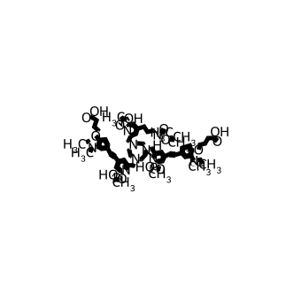 CCN(C)c1cc(C#Cc2cc(CN3CCN(Cc4cc(C#Cc5ccc(OCCCC(=O)O)c(N(C)CC)c5)cc(P(C)(=O)O)n4)CCN(Cc4cc(CCCNC(=O)OC(C)(C)C)cc(P(C)(=O)O)n4)CC3)nc(P(C)(=O)O)c2)ccc1OCCCC(=O)O